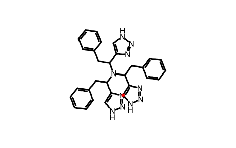 c1ccc(CC(c2c[nH]nn2)N(C(Cc2ccccc2)c2c[nH]nn2)C(Cc2ccccc2)c2c[nH]nn2)cc1